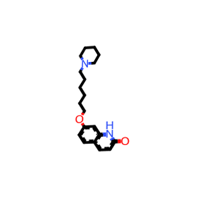 O=c1ccc2ccc(OCCCCCCN3CCCCC3)cc2[nH]1